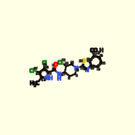 Cc1[nH]c(C(=O)NC2CCN(c3nc4cccc(C(=O)O)c4s3)CC2Cl)c(Cl)c1Cl